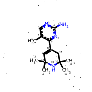 Cc1cnc(N)nc1C1=CC(C)(C)NC(C)(C)C1